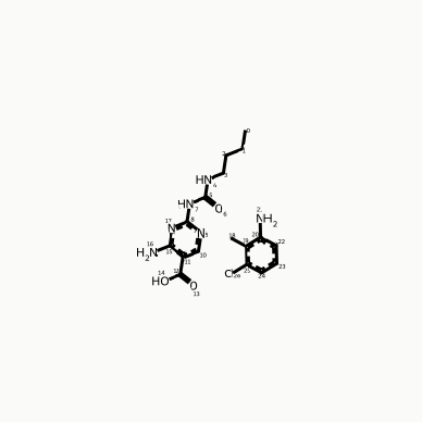 CCCCNC(=O)Nc1ncc(C(=O)O)c(N)n1.Cc1c(N)cccc1Cl